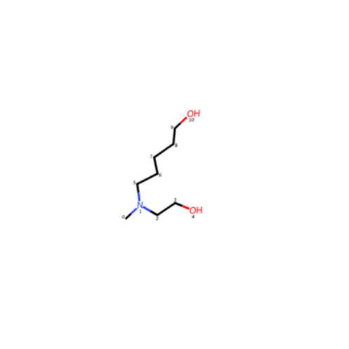 CN(CCO)CCCCCO